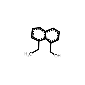 CCc1cccc2cccc(CO)c12